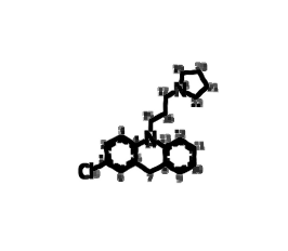 Clc1ccc2c(c1)Cc1ccccc1N2CCCN1CCCC1